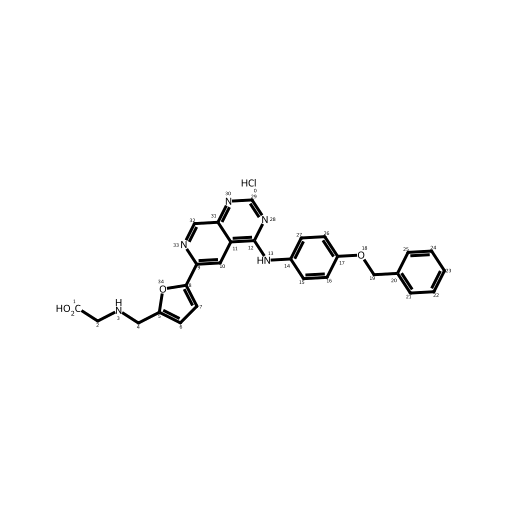 Cl.O=C(O)CNCc1ccc(-c2cc3c(Nc4ccc(OCc5ccccc5)cc4)ncnc3cn2)o1